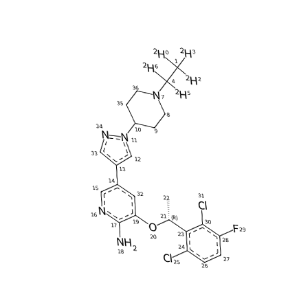 [2H]C([2H])([2H])C([2H])([2H])N1CCC(n2cc(-c3cnc(N)c(O[C@H](C)c4c(Cl)ccc(F)c4Cl)c3)cn2)CC1